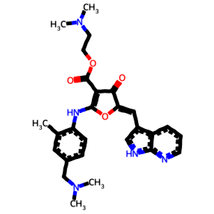 Cc1cc(CN(C)C)ccc1NC1=C(C(=O)OCCN(C)C)C(=O)/C(=C/c2c[nH]c3ncccc23)O1